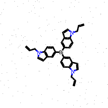 C=CCn1ccc2c[c]([Bi]([c]3ccc4c(ccn4CC=C)c3)[c]3ccc4c(ccn4CC=C)c3)ccc21